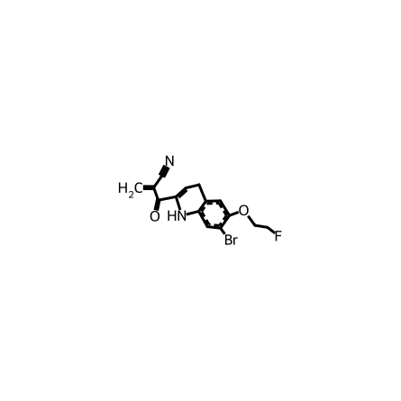 C=C(C#N)C(=O)C1=CCc2cc(OCCF)c(Br)cc2N1